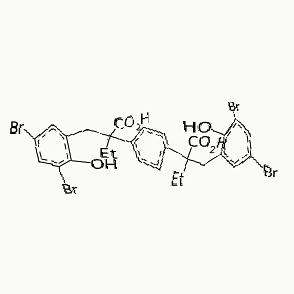 CCC(Cc1cc(Br)cc(Br)c1O)(C(=O)O)c1ccc(C(CC)(Cc2cc(Br)cc(Br)c2O)C(=O)O)cc1